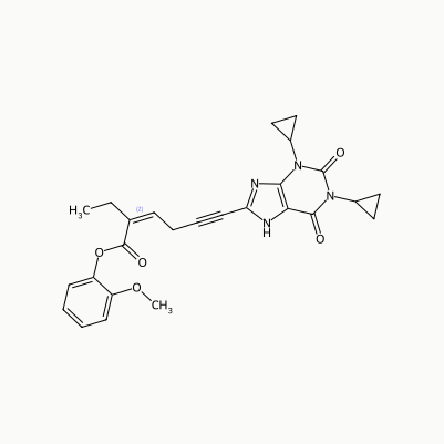 CC/C(=C/CC#Cc1nc2c([nH]1)c(=O)n(C1CC1)c(=O)n2C1CC1)C(=O)Oc1ccccc1OC